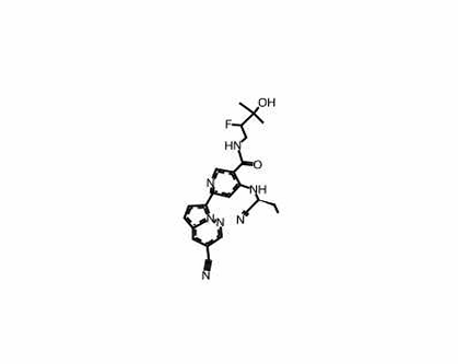 CC[C@@H](C#N)Nc1cc(-c2ccc3cc(C#N)cnn23)ncc1C(=O)NCC(F)C(C)(C)O